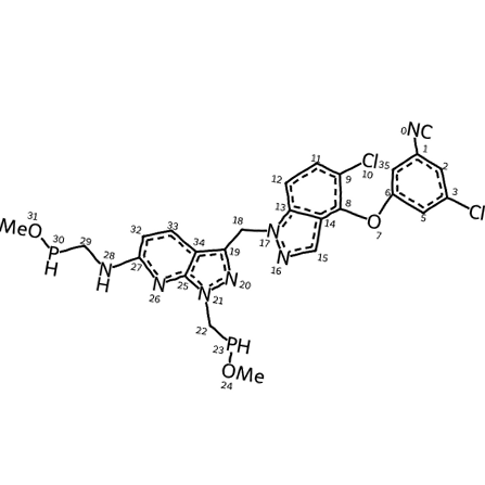 [C-]#[N+]c1cc(Cl)cc(Oc2c(Cl)ccc3c2cnn3Cc2nn(CPOC)c3nc(NCPOC)ccc23)c1